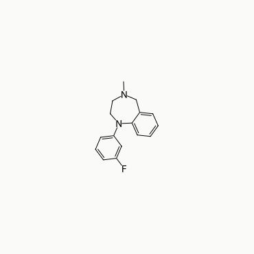 CN1CCN(c2cccc(F)c2)c2ccccc2C1